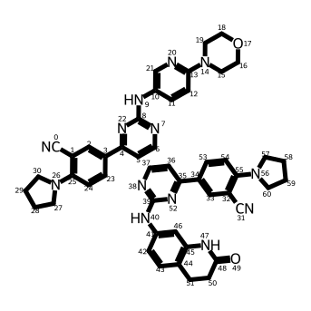 N#Cc1cc(-c2ccnc(Nc3ccc(N4CCOCC4)nc3)n2)ccc1N1CCCC1.N#Cc1cc(-c2ccnc(Nc3ccc4c(c3)NC(=O)CC4)n2)ccc1N1CCCC1